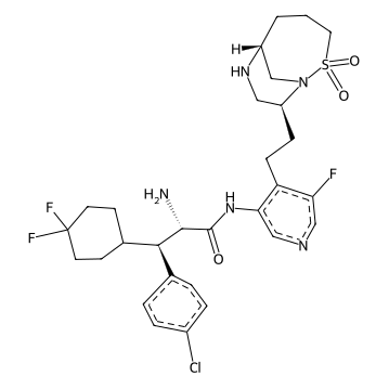 N[C@H](C(=O)Nc1cncc(F)c1CC[C@H]1CN[C@@H]2CCCS(=O)(=O)N1C2)[C@@H](c1ccc(Cl)cc1)C1CCC(F)(F)CC1